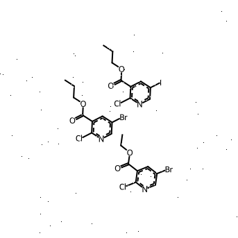 CCCOC(=O)c1cc(Br)cnc1Cl.CCCOC(=O)c1cc(I)cnc1Cl.CCOC(=O)c1cc(Br)cnc1Cl